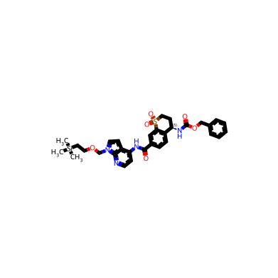 C[Si](C)(C)CCOCn1ccc2c(NC(=O)c3ccc4c(c3)S(=O)(=O)CC[C@@H]4NC(=O)OCc3ccccc3)ccnc21